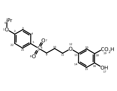 CC(C)Oc1ccc(S(=O)(=O)CCCOc2ccc(O)c(C(=O)O)c2)cc1